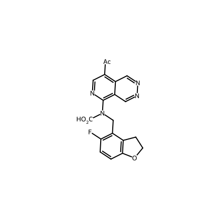 CC(=O)c1cnc(N(Cc2c(F)ccc3c2CCO3)C(=O)O)c2cnncc12